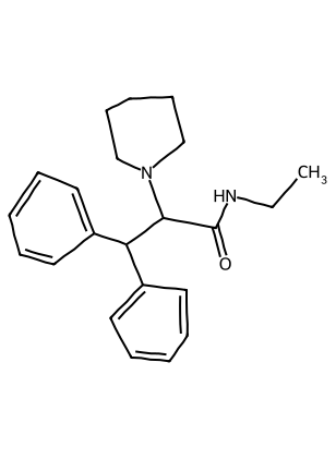 CCNC(=O)C(C(c1ccccc1)c1ccccc1)N1CCCCC1